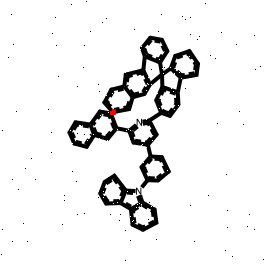 c1cc(-c2cc(-c3ccc4c(c3)C3(c5ccccc5-4)c4ccccc4-c4cc5ccccc5cc43)nc(-c3ccc4ccccc4c3)c2)cc(-n2c3ccccc3c3ccccc32)c1